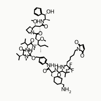 CC[C@H](C)[C@@H]([C@@H](CC(=O)N1CCC[C@H]1[C@H](OC)[C@@H](C)C(=O)N[C@H](C)[C@@H](O)c1ccccc1)OC)N(C)C(=O)[C@@H](NC(=O)[C@H](C(C)C)N(C)C(=O)OCc1ccc(NC(=O)[C@H](C[C@H]2CC[C@H](CN)CC2)NC(=O)[C@@H](N[C@@H](CCCCCN2C(=O)C=CC2=O)C(F)(F)F)C(C)C)cc1)C(C)C